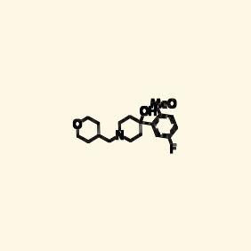 COc1ccc(F)cc1C1(O)CCN(CC2CCOCC2)CC1